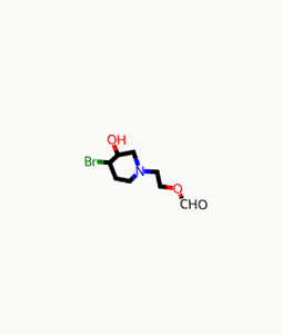 O=COCCN1CCC(Br)C(O)C1